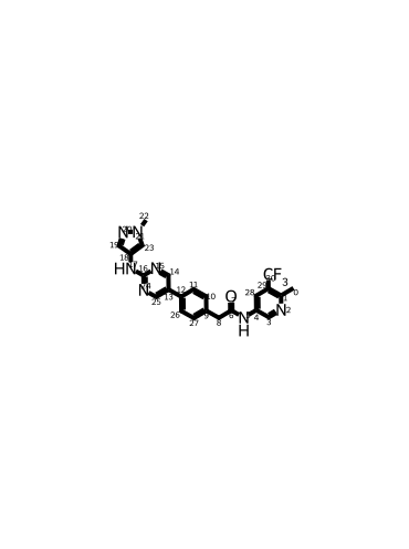 Cc1ncc(NC(=O)Cc2ccc(-c3cnc(Nc4cnn(C)c4)nc3)cc2)cc1C(F)(F)F